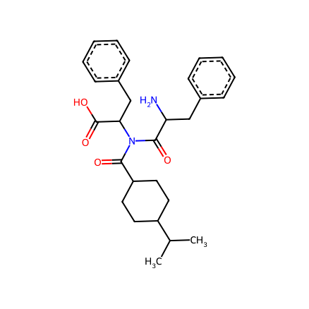 CC(C)C1CCC(C(=O)N(C(=O)C(N)Cc2ccccc2)C(Cc2ccccc2)C(=O)O)CC1